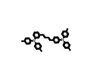 Cc1ccc(N(c2ccc(C)cc2)c2ccc(C=CC=Cc3cccc(N(c4ccc(C)cc4)c4ccc(C)cc4)c3)cc2)cc1